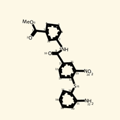 COC(=O)c1cccc(NC(=O)c2ccc(Sc3ccccc3N)c([N+](=O)[O-])c2)c1